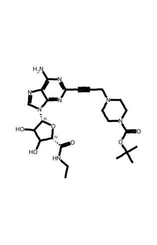 CCNC(=O)[C@H]1O[C@@H](n2cnc3c(N)nc(C#CCN4CCN(C(=O)OC(C)(C)C)CC4)nc32)C(O)C1O